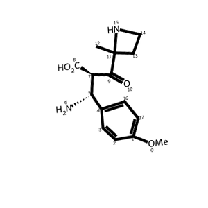 COc1ccc([C@H](N)[C@@H](C(=O)O)C(=O)C2(C)CCN2)cc1